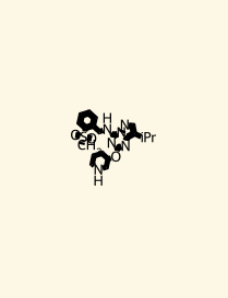 CC(C)c1cnn2c(NCc3ccccc3S(C)(=O)=O)nc(OC3CCCNC3)nc12